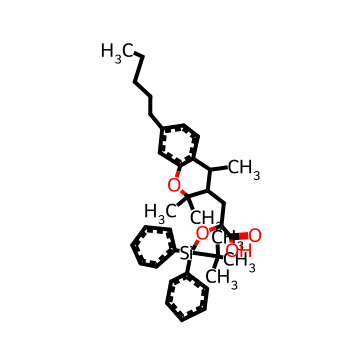 CCCCCc1ccc2c(c1)OC(C)(C)C(CC(O[Si](c1ccccc1)(c1ccccc1)C(C)(C)C)C(=O)O)C2C